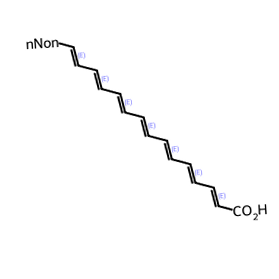 CCCCCCCCC/C=C/C=C/C=C/C=C/C=C/C=C/C=C/C(=O)O